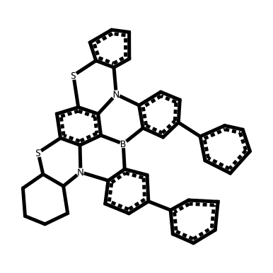 c1ccc(-c2ccc3c(c2)B2c4cc(-c5ccccc5)ccc4N4c5c(cc6c(c52)N3c2ccccc2S6)SC2CCCCC24)cc1